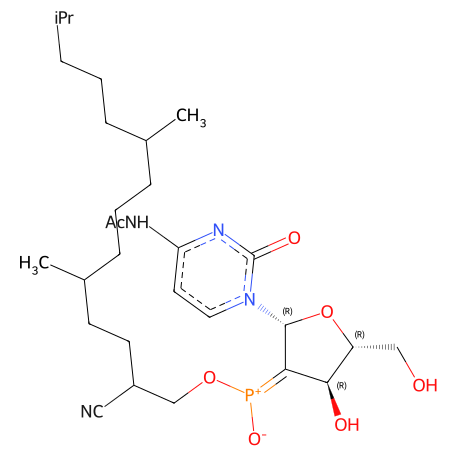 CC(=O)Nc1ccn([C@@H]2O[C@H](CO)[C@@H](O)C2=[P+]([O-])OCC(C#N)CCC(C)CCCC(C)CCCC(C)C)c(=O)n1